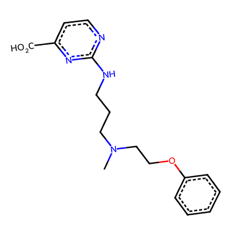 CN(CCCNc1nccc(C(=O)O)n1)CCOc1ccccc1